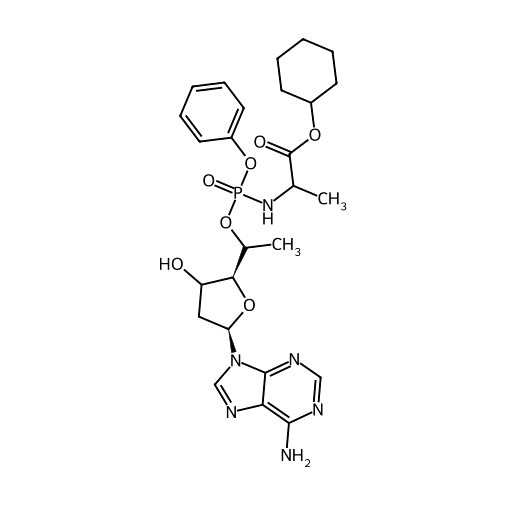 CC(NP(=O)(Oc1ccccc1)OC(C)[C@H]1O[C@@H](n2cnc3c(N)ncnc32)CC1O)C(=O)OC1CCCCC1